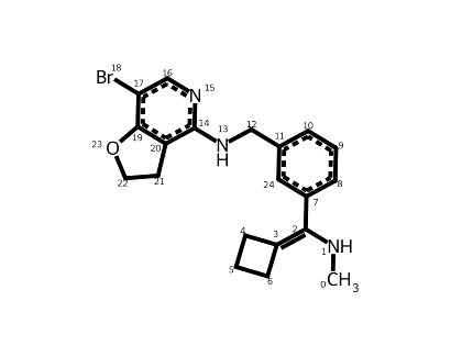 CNC(=C1CCC1)c1cccc(CNc2ncc(Br)c3c2CCO3)c1